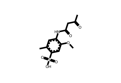 COc1cc(S(=O)(=O)O)c(C)cc1NC(=O)CC(C)=O